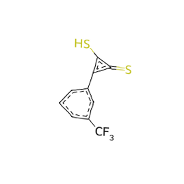 FC(F)(F)c1cccc(-c2c(S)c2=S)c1